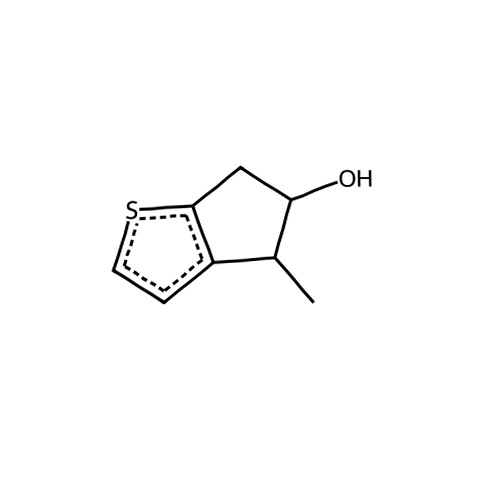 CC1c2ccsc2CC1O